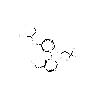 CCC(C)Oc1cccc([N+]2(S(=O)(=O)CC(F)(F)F)C=C(CN)C=CC2)c1